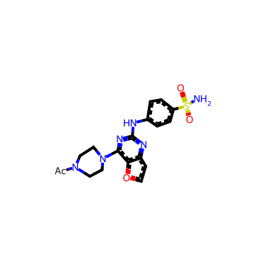 CC(=O)N1CCN(c2nc(Nc3ccc(S(N)(=O)=O)cc3)nc3ccoc23)CC1